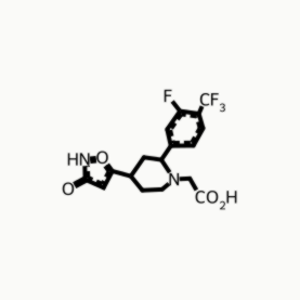 O=C(O)CN1CCC(c2cc(=O)[nH]o2)CC1c1ccc(C(F)(F)F)c(F)c1